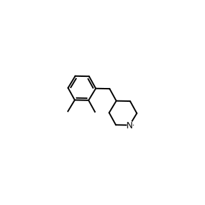 Cc1cccc(CC2CC[N]CC2)c1C